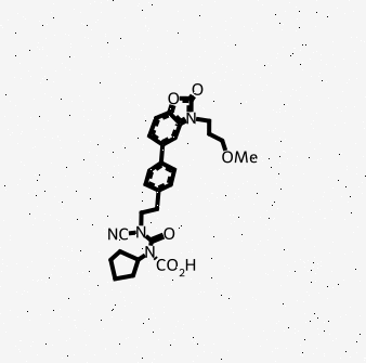 COCCCn1c(=O)oc2ccc(-c3ccc(CCN(C#N)C(=O)N(C(=O)O)C4CCCC4)cc3)cc21